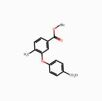 CCOC(=O)c1ccc(Oc2cc(C(=O)OC(C)(C)C)ccc2C)cc1